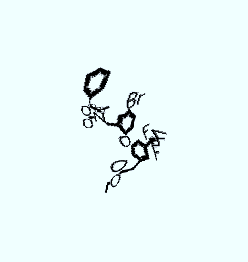 CCOC(=O)Cc1cc(Oc2ccc(Br)cc2CN2C(=O)O[C@@H](c3ccccc3)[C@H]2C)cc(C(F)(F)F)c1